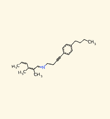 C\C=C/C(C)=C(C)\C=N\CCC#Cc1ccc(CCCC)cc1